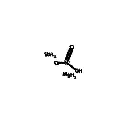 O=[N+]([O-])O.[MgH2].[SbH3]